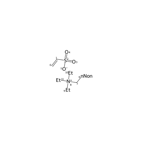 C=CS(=O)(=O)[O-].CCCCCCCCCC[N+](CC)(CC)CC